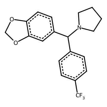 FC(F)(F)c1ccc(C(c2ccc3c(c2)OCO3)N2CCCC2)cc1